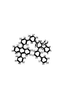 C[Si]1(C)c2ccccc2-c2c(-c3cccc(-c4ccccc4)c3)nc(-c3cccc(-c4cccc(-c5c6ccccc6c(-c6ccccc6)c6ccccc56)c4)c3)nc21